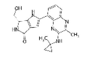 Cc1nc2cccc(-c3cc4c([nH]3)[C@@H](CO)NC4=O)c2nc1NC1(C)CC1